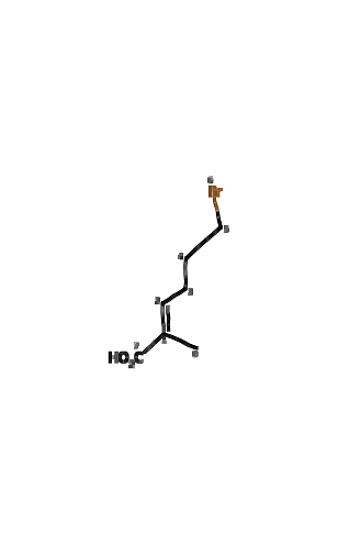 CC(=CCCCBr)C(=O)O